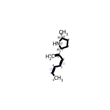 C=C(/C=C\C=C/C)[C@H]1CC[C@@H](C)N1